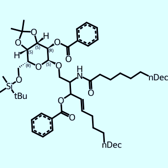 CCCCCCCCCCCCCC=CC(OC(=O)c1ccccc1)C(CO[C@H]1O[C@H](CO[Si](C)(C)C(C)(C)C)[C@@H]2OC(C)(C)O[C@@H]2[C@H]1OC(=O)c1ccccc1)NC(=O)CCCCCCCCCCCCCCC